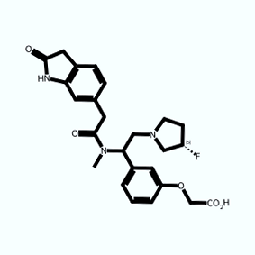 CN(C(=O)Cc1ccc2c(c1)NC(=O)C2)C(CN1CC[C@H](F)C1)c1cccc(OCC(=O)O)c1